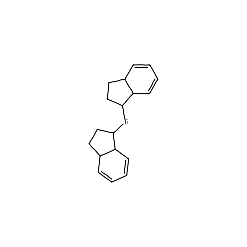 C1=CC2CC[CH]([Ti][CH]3CCC4C=CC=CC43)C2C=C1